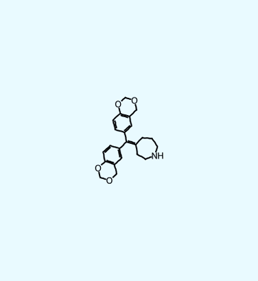 c1cc2c(cc1C(=C1CCCNCC1)c1ccc3c(c1)COCO3)COCO2